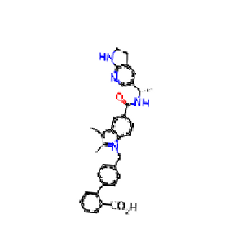 Cc1c(C)n(Cc2ccc(-c3ccccc3C(=O)O)cc2)c2ccc(C(=O)N[C@@H](C)c3cnc4c(c3)CCN4)cc12